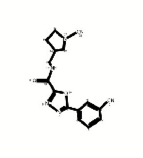 N#Cc1cccc(-c2nnc(C(=O)NCC3CCN(C#N)C3)o2)c1